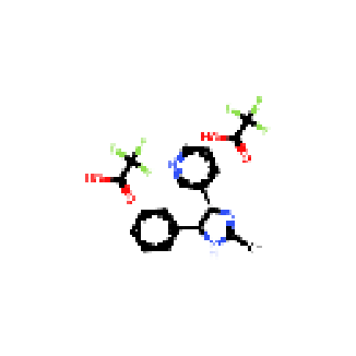 CC1=N[C@H](c2cccnc2)[C@H](c2ccccc2)N1.O=C(O)C(F)(F)F.O=C(O)C(F)(F)F